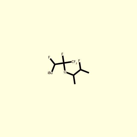 CCC(C)C(F)C(F)(OC(C)C(C)F)C(F)(F)F